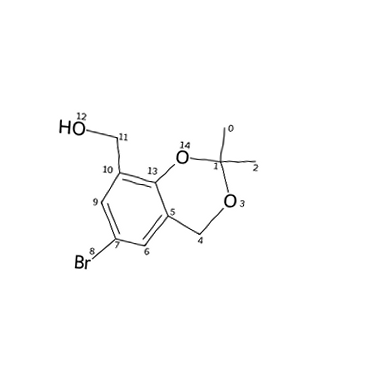 CC1(C)OCc2cc(Br)cc(CO)c2O1